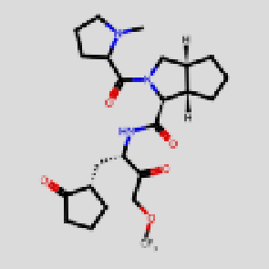 CN1CCCC1C(=O)N1C[C@@H]2CCC[C@@H]2[C@H]1C(=O)N[C@@H](C[C@@H]1CCCC1=O)C(=O)COC(F)(F)F